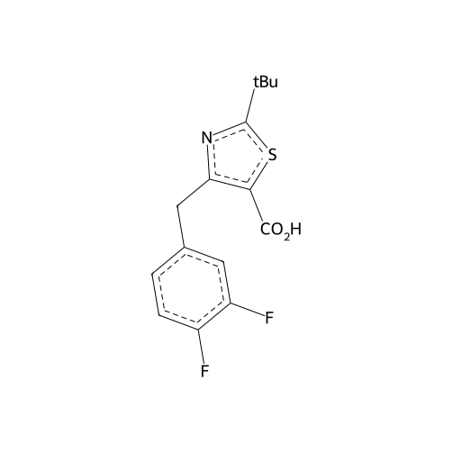 CC(C)(C)c1nc(Cc2ccc(F)c(F)c2)c(C(=O)O)s1